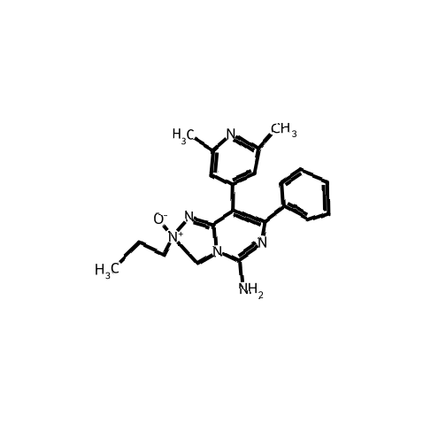 CCC[N+]1([O-])CN2C(N)=NC(c3ccccc3)=C(c3cc(C)nc(C)c3)C2=N1